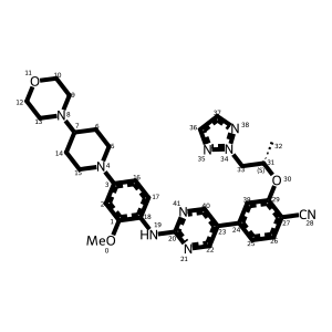 COc1cc(N2CCC(N3CCOCC3)CC2)ccc1Nc1ncc(-c2ccc(C#N)c(O[C@@H](C)Cn3nccn3)c2)cn1